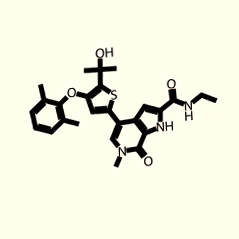 CCNC(=O)c1cc2c(-c3cc(Oc4c(C)cccc4C)c(C(C)(C)O)s3)cn(C)c(=O)c2[nH]1